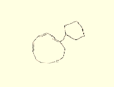 C1=CC=C(C2CCCCC2)CCCCCCC=C1